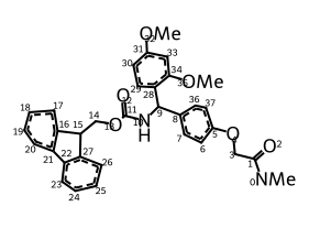 CNC(=O)COc1ccc(C(NC(=O)OCC2c3ccccc3-c3ccccc32)c2ccc(OC)cc2OC)cc1